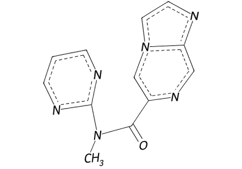 CN(C(=O)c1cn2ccnc2cn1)c1ncccn1